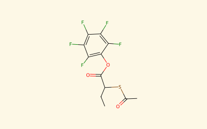 CCC(SC(C)=O)C(=O)Oc1c(F)c(F)c(F)c(F)c1F